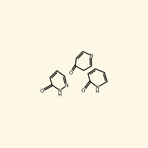 O=C1C=CN=CC1.O=c1cccc[nH]1.O=c1cccn[nH]1